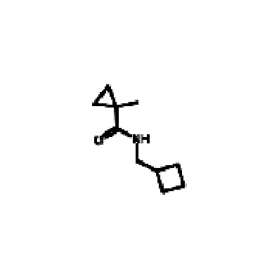 CC1(C(=O)NCC2CCC2)CC1